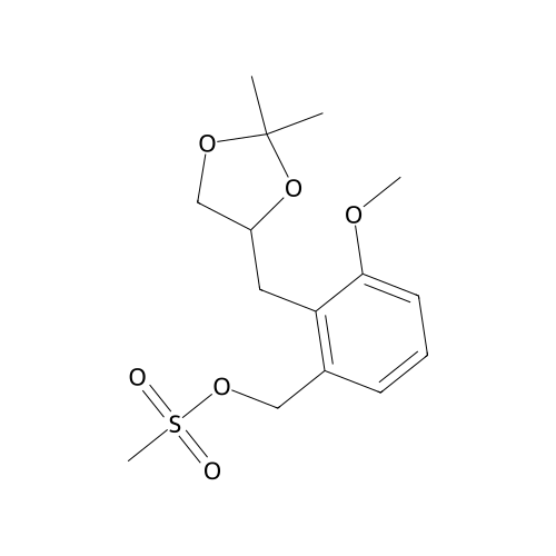 COc1cccc(COS(C)(=O)=O)c1CC1COC(C)(C)O1